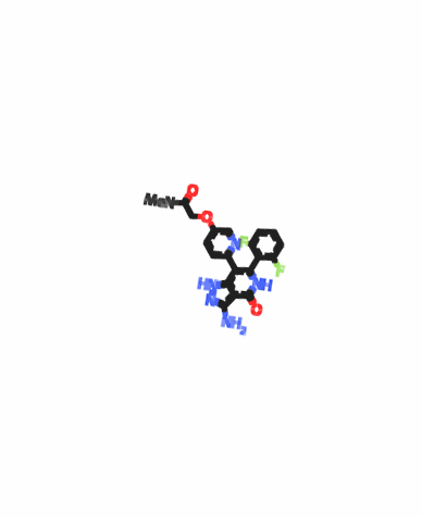 CNC(=O)COc1ccc(-c2c(-c3c(F)cccc3F)[nH]c(=O)c3c(N)n[nH]c23)nc1